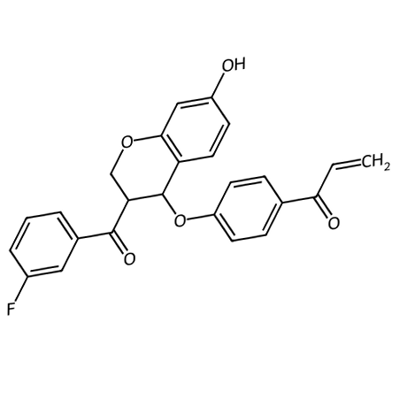 C=CC(=O)c1ccc(OC2c3ccc(O)cc3OCC2C(=O)c2cccc(F)c2)cc1